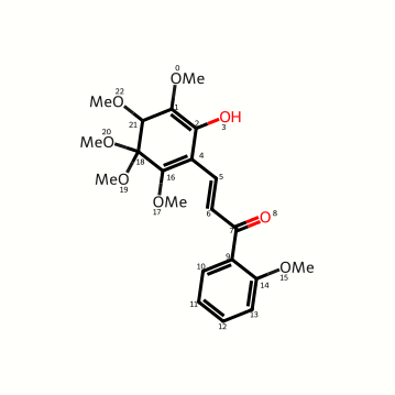 COC1=C(O)C(C=CC(=O)c2ccccc2OC)=C(OC)C(OC)(OC)C1OC